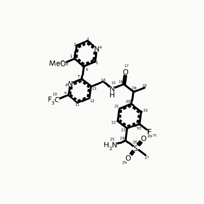 COc1ccncc1-c1nc(C(F)(F)F)ccc1CNC(=O)C(C)c1ccc(C(N)S(C)(=O)=O)c(F)c1